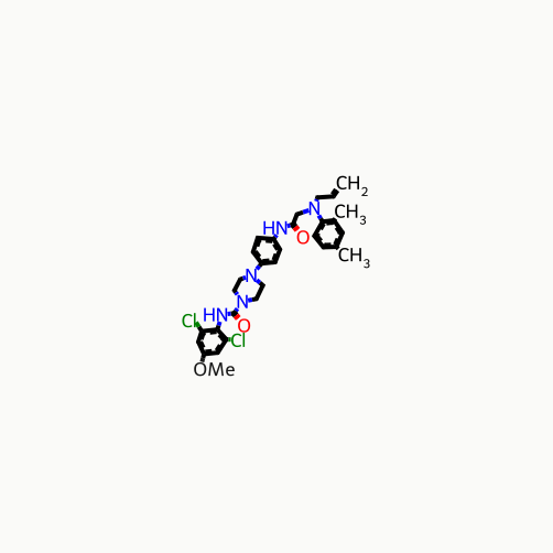 C=CCN(CC(=O)Nc1ccc(N2CCN(C(=O)Nc3c(Cl)cc(OC)cc3Cl)CC2)cc1)c1ccc(C)cc1C